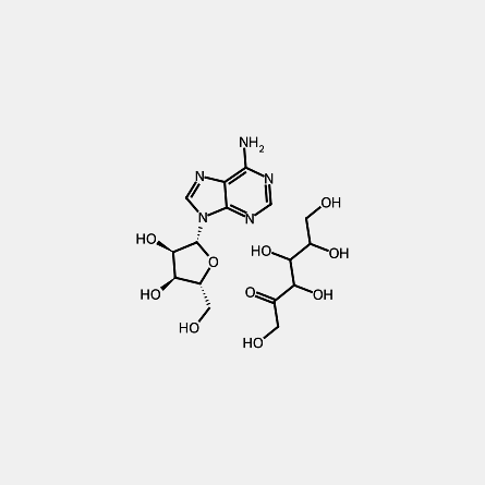 Nc1ncnc2c1ncn2[C@@H]1O[C@H](CO)[C@@H](O)[C@H]1O.O=C(CO)C(O)C(O)C(O)CO